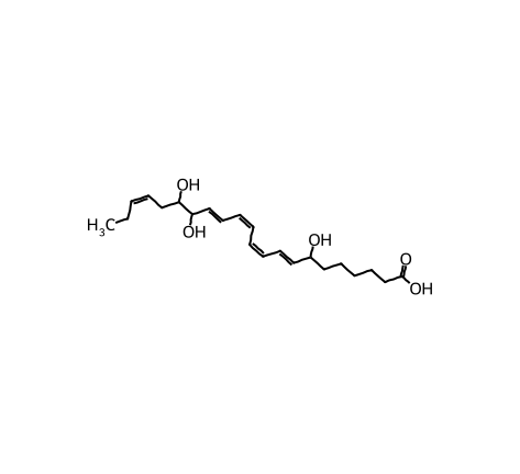 CC/C=C\CC(O)C(O)/C=C/C=C\C=C/C=C/C(O)CCCCCC(=O)O